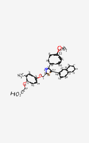 Cc1cc(OCc2nc(-c3ccc(OC(C)C)cc3)c(-c3ccc4ccccc4c3)s2)ccc1OCC(=O)O